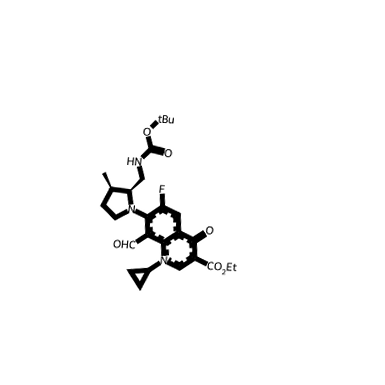 CCOC(=O)c1cn(C2CC2)c2c(C=O)c(N3CC[C@@H](C)[C@H]3CNC(=O)OC(C)(C)C)c(F)cc2c1=O